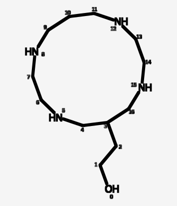 OCCC1CNCCNCCCNCCNC1